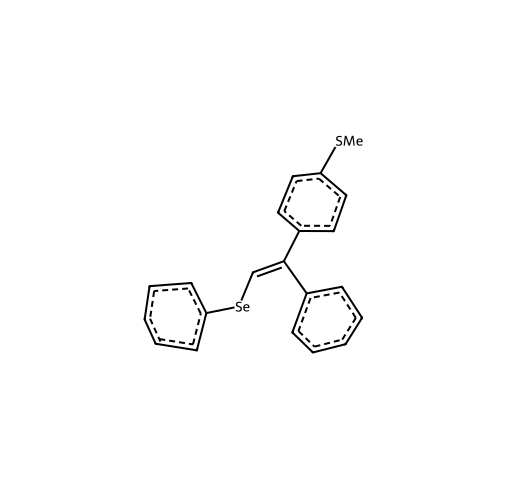 CSc1ccc(C(=C[Se]c2ccccc2)c2ccccc2)cc1